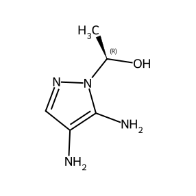 C[C@@H](O)n1ncc(N)c1N